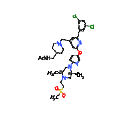 CC(=O)NCC1CCN(Cc2cc(Oc3ccc(N4C[C@H](C)N(CCS(C)(=O)=O)C[C@@H]4C)nc3)nc(-c3cc(Cl)cc(Cl)c3)c2)CC1